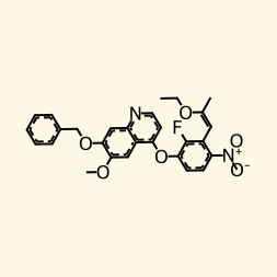 CCOC(C)=Cc1c([N+](=O)[O-])ccc(Oc2ccnc3cc(OCc4ccccc4)c(OC)cc23)c1F